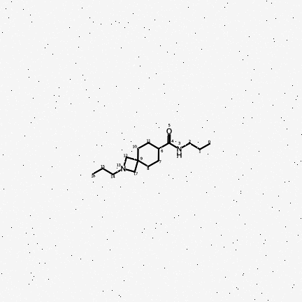 CCCNC(=O)C1CCC2(CC1)CN(CCC)C2